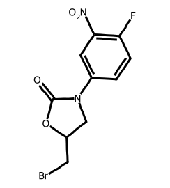 O=C1OC(CBr)CN1c1ccc(F)c([N+](=O)[O-])c1